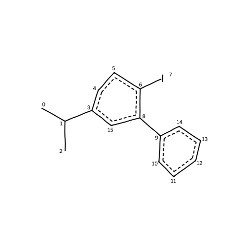 CC(C)c1ccc(I)c(-c2ccccc2)c1